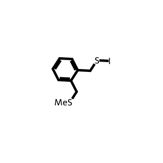 CSCc1ccccc1CSI